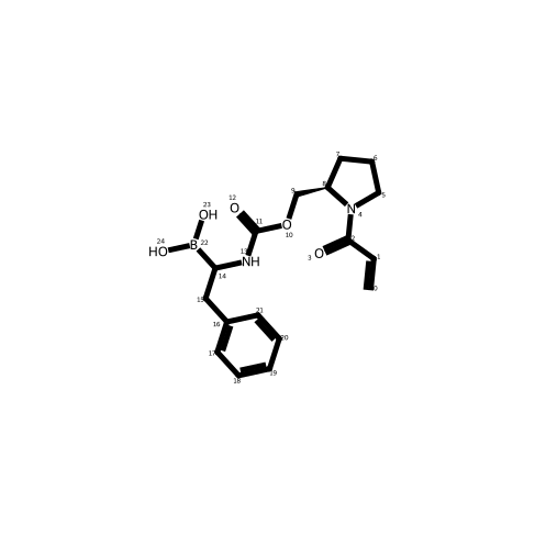 C=CC(=O)N1CCC[C@@H]1COC(=O)NC(Cc1ccccc1)B(O)O